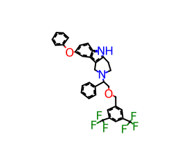 FC(F)(F)c1cc(COCC(c2ccccc2)N2CCc3[nH]c4ccc(Oc5ccccc5)cc4c3C2)cc(C(F)(F)F)c1